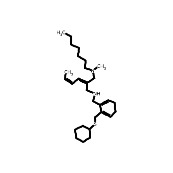 C/C=C\C=C(/CNCC1=CCCC=C1CSC1CCCCC1)CN(C)CCCCCCC